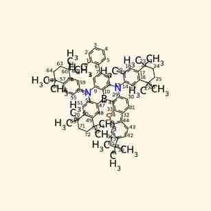 Cc1ccccc1-c1cc2c3c(c1)N(c1cc4c(cc1C)C(C)(C)CCC4(C)C)c1ccc4c(sc5cc(C(C)(C)C)ccc54)c1B3c1cc3c(cc1N2c1ccc2c(c1)C(C)(C)CCC2(C)C)C(C)(C)CCC3(C)C